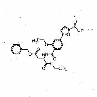 CCOC(=O)C(CC(=O)OCc1ccccc1)NC(=O)c1ccc(-c2ccc(C(=O)O)o2)cc1OCC